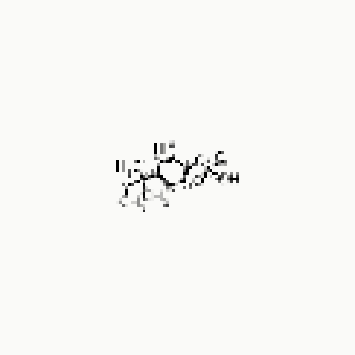 CCC(C)(C)c1ccc(OS(=O)(=O)O)cc1.I